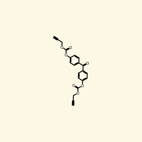 C#CCOC(=O)Oc1ccc(C(=O)c2ccc(OC(=O)OCC#C)cc2)cc1